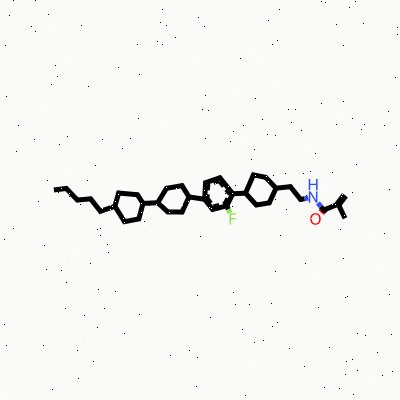 C=C(C)C(=O)NCCC1CCC(c2ccc(C3CCC(C4CCC(CCCCC)CC4)CC3)cc2F)CC1